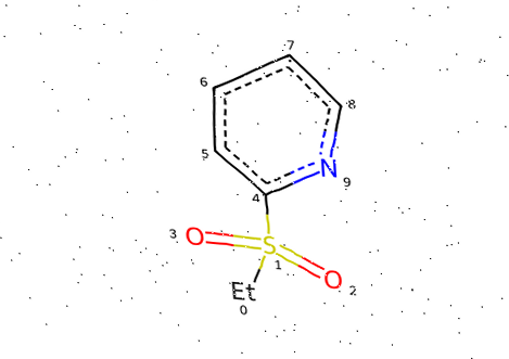 CCS(=O)(=O)c1cc[c]cn1